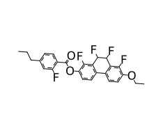 CCCc1ccc(C(=O)Oc2ccc3c(c2F)C(F)C(F)c2c-3ccc(OCC)c2F)c(F)c1